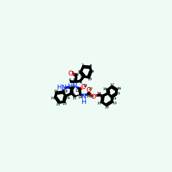 CC([C]=O)(Cc1ccccc1)NC(=O)[C@H](Cc1c[nH]c2ccccc12)NC(=O)OCc1cccc2ccccc12